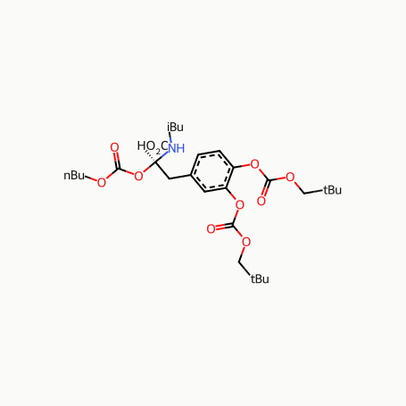 CCCCOC(=O)O[C@](Cc1ccc(OC(=O)OCC(C)(C)C)c(OC(=O)OCC(C)(C)C)c1)(NC(C)CC)C(=O)O